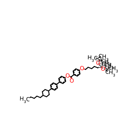 CCCCCC1CCC(c2ccc(-c3ccc(OC(=O)c4ccc(OCCCCC[Si](C)(O[Si](C)(C)C)O[Si](C)(C)C)cc4)cc3)cc2)CC1